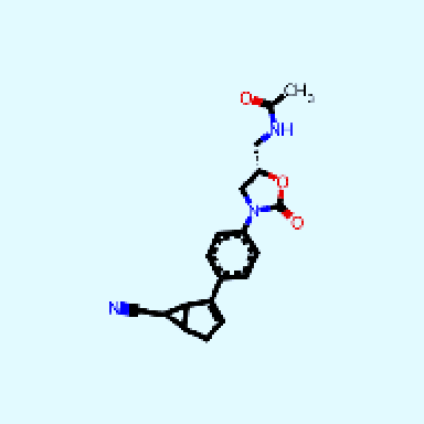 CC(=O)NC[C@H]1CN(c2ccc(C3=CCC4C(C#N)C34)cc2)C(=O)O1